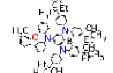 CCC(C)(C)c1ccc(N2c3ccc(C(C)(C)CC)cc3B3c4cc(C(C)(C)CC)ccc4N(c4ccc(C(C)(C)CC)cc4)c4cc(N(c5ccccc5)c5cccc6c5oc5c(C)cccc56)cc2c43)cc1